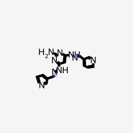 Nc1nc(N/N=C/c2cccnc2)cc(N/N=C/c2cccnc2)n1